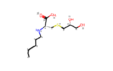 CCCCCN[C@@H](CSC[C@H](O)CO)C(=O)O